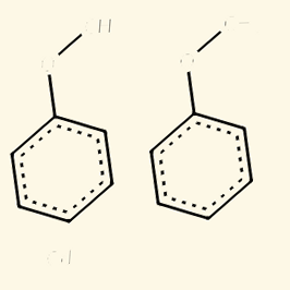 COc1ccccc1.COc1ccccc1.[Cd]